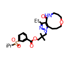 CCc1nn(CC(C)(C)COC(=O)c2cccc(S(=O)(=O)C(C)C)c2)c2c1C(=O)NCCCOCCC2